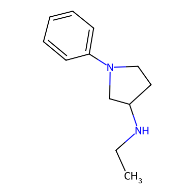 CCNC1CCN(c2ccccc2)C1